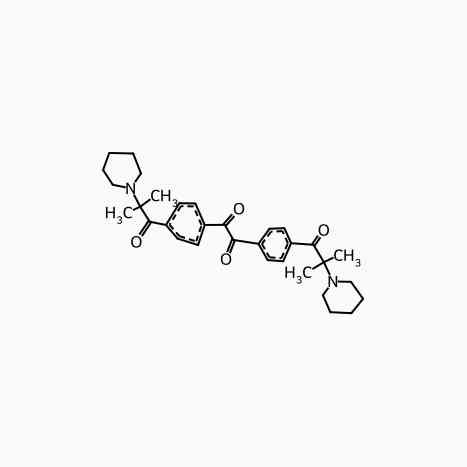 CC(C)(C(=O)c1ccc(C(=O)C(=O)c2ccc(C(=O)C(C)(C)N3CCCCC3)cc2)cc1)N1CCCCC1